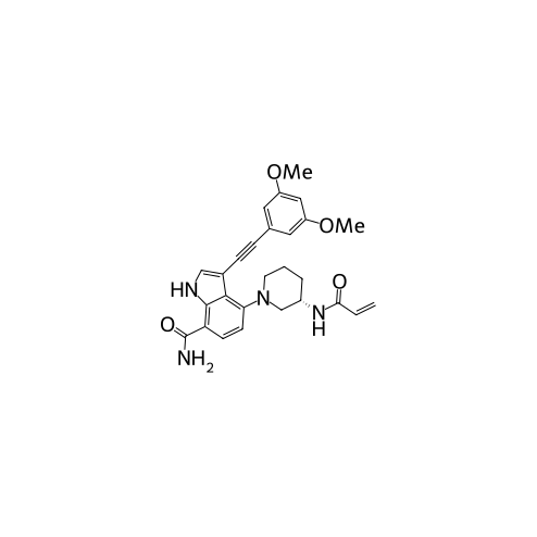 C=CC(=O)N[C@H]1CCCN(c2ccc(C(N)=O)c3[nH]cc(C#Cc4cc(OC)cc(OC)c4)c23)C1